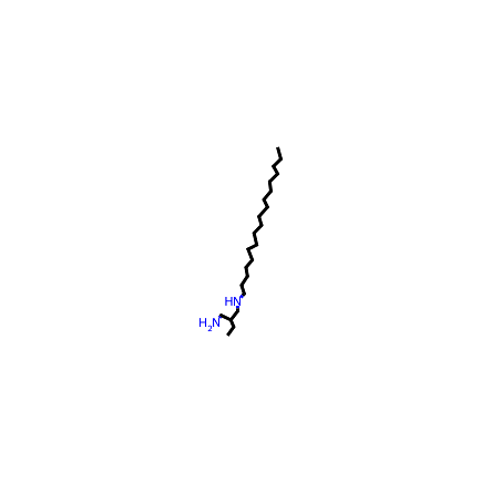 CCCCCCCCCCCCCCCCCCNCC(CC)CN